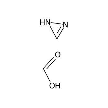 C1=NN1.O=CO